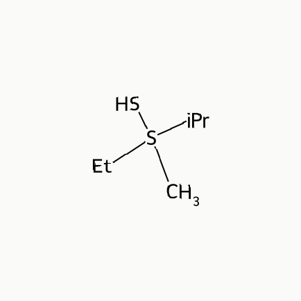 CCS(C)(S)C(C)C